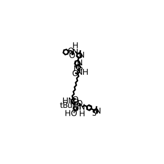 Cc1ncc(-c2ccc3nc(NC(=O)CCCCCCCCCCC(=O)N[C@H](C(=O)N4C[C@H](O)C[C@H]4C(=O)NCc4ccc(-c5scnc5C)cc4)C(C)(C)C)sc3n2)cc1NC(=O)OC1CCCCC1